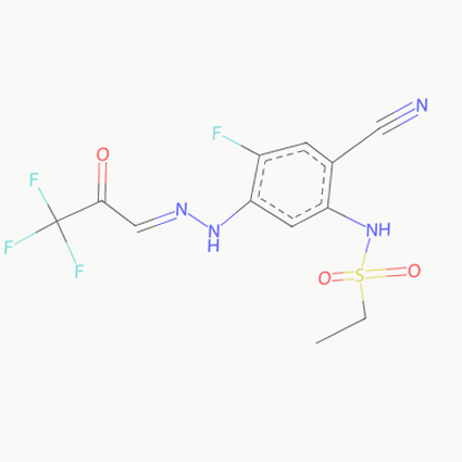 CCS(=O)(=O)Nc1cc(NN=CC(=O)C(F)(F)F)c(F)cc1C#N